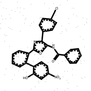 O=C(Nc1oc(-c2ccccc2-c2ccc([N+](=O)[O-])cc2O)nc1-c1ccc(Cl)cc1)c1ccccc1